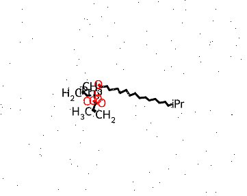 C=C(C)C(=O)[O][Ti](=[O])([O]C(=O)CCCCCCCCCCCCCCC(C)C)([C](=O)C(=C)C)[CH](C)C